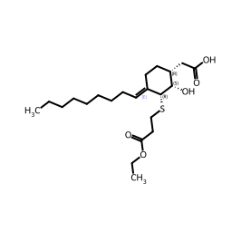 CCCCCCCC/C=C1\CC[C@H](CC(=O)O)[C@H](O)[C@@H]1SCCC(=O)OCC